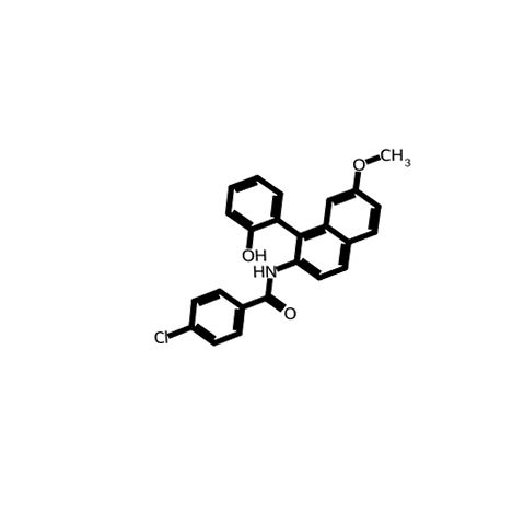 COc1ccc2ccc(NC(=O)c3ccc(Cl)cc3)c(-c3ccccc3O)c2c1